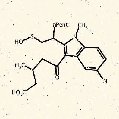 CCCCCC(CSO)c1c(C(=O)CC(C)CC(=O)O)c2cc(Cl)ccc2n1C